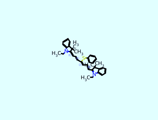 CCN1/C(=C/C=C/C(=C/C=C/C2=[N+](CC)c3ccccc3C2(C)C)Sc2ccccc2)C(C)(C)c2ccccc21